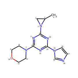 CC1CN1c1nc(N2CCOCC2)nc(-n2ccnc2)n1